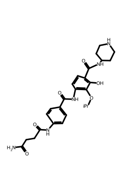 CC(C)Oc1c(NC(=O)c2ccc(NC(=O)CCC(N)=O)cc2)ccc(C(=O)NC2CCNCC2)c1O